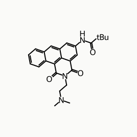 CN(C)CCN1C(=O)c2cc(NC(=O)C(C)(C)C)cc3cc4ccccc4c(c23)C1=O